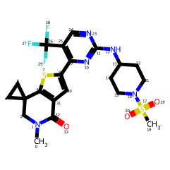 CN1CC2(CC2)c2sc(-c3nc(NC4CCN(S(C)(=O)=O)CC4)ncc3C(F)(F)F)cc2C1=O